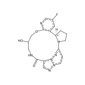 O=C1NCC(O)COc2ncc(F)cc2[C@H]2CCCN2c2ccn3ncc1c3n2